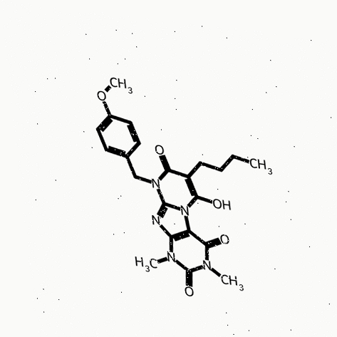 CCCCc1c(O)n2c3c(=O)n(C)c(=O)n(C)c3nc2n(Cc2ccc(OC)cc2)c1=O